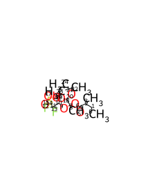 CCC(C)C(=O)OC(C)(OCC(F)(F)S(=O)(=O)O)C(=O)OC(C)(C)C